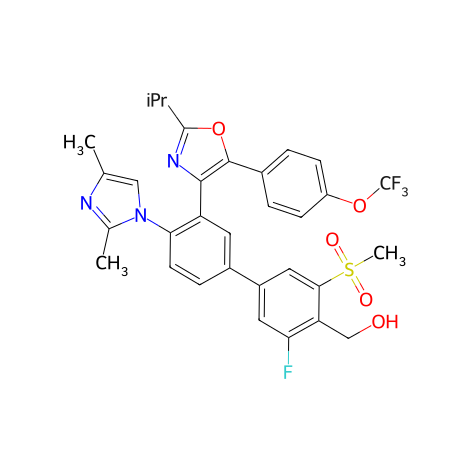 Cc1cn(-c2ccc(-c3cc(F)c(CO)c(S(C)(=O)=O)c3)cc2-c2nc(C(C)C)oc2-c2ccc(OC(F)(F)F)cc2)c(C)n1